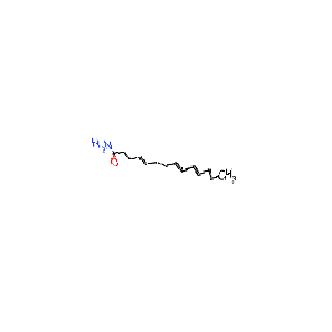 CC=CC=CC=CCCC=CC=CC(N)=O